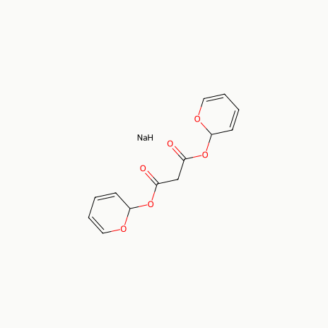 O=C(CC(=O)OC1C=CC=CO1)OC1C=CC=CO1.[NaH]